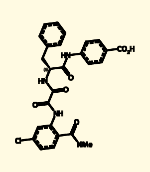 CNC(=O)c1ccc(Cl)cc1NC(=O)C(=O)N[C@@H](Cc1ccccc1)C(=O)Nc1ccc(C(=O)O)cc1